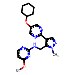 CCOc1ccnc(NCc2c(-c3ncc(OC4CCCCC4)cn3)cnn2C)n1